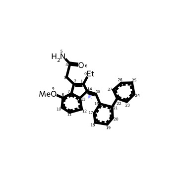 CCC1=C(CC(N)=O)c2c(OC)cccc2/C1=C\c1ccccc1-c1ccccc1